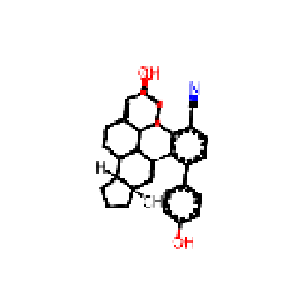 C[C@@]12CCC[C@@H]1C1CCC3=CC(=O)CCC3C1[C@@H](c1c(-c3ccc(O)cc3)ccc(C#N)c1CCCO)C2